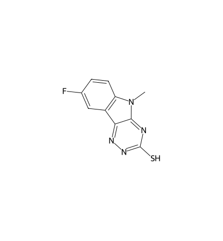 Cn1c2ccc(F)cc2c2nnc(S)nc21